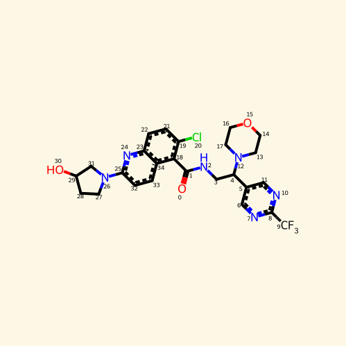 O=C(NCC(c1cnc(C(F)(F)F)nc1)N1CCOCC1)c1c(Cl)ccc2nc(N3CCC(O)C3)ccc12